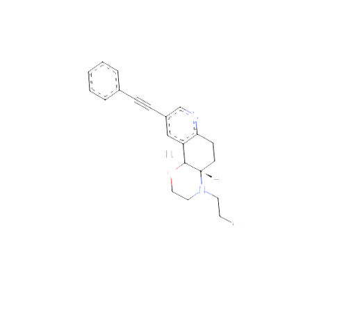 CCCN1CCO[C@H]2c3cc(C#Cc4ccccc4)cnc3CC[C@@H]21